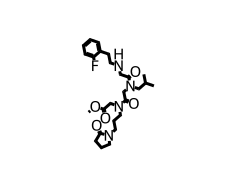 COC(=O)CN(CCCN1CCCC1=O)C(=O)CN(CC(C)C)C(=O)CNCCc1ccccc1F